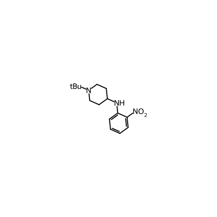 CC(C)(C)N1CCC(Nc2ccccc2[N+](=O)[O-])CC1